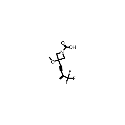 C=C(C#CC1(OC)CN(C(=O)O)C1)C(F)(F)F